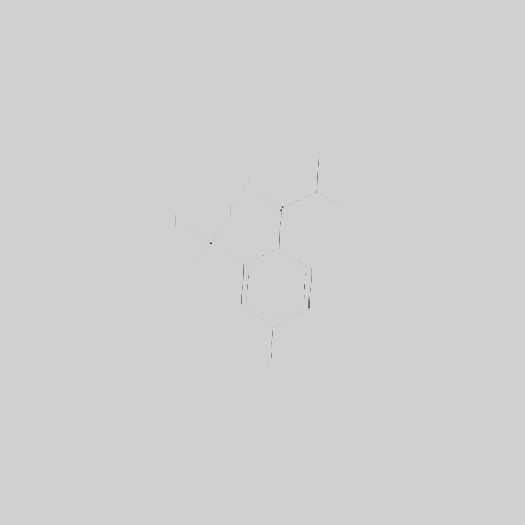 CC(C)C(=O)c1ccc(Cl)cc1C(F)(F)F